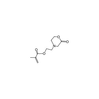 C=C(C)C(=O)OCCN1CCOC(=O)C1